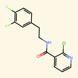 O=C(NCCc1ccc(F)c(F)c1)c1cccnc1Cl